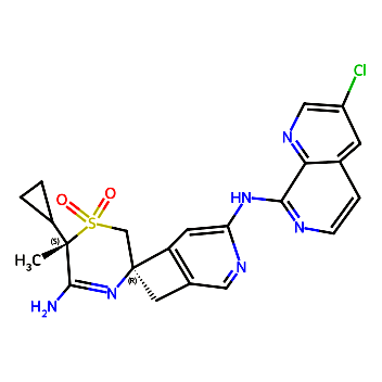 C[C@]1(C2CC2)C(N)=N[C@@]2(Cc3cnc(Nc4nccc5cc(Cl)cnc45)cc32)CS1(=O)=O